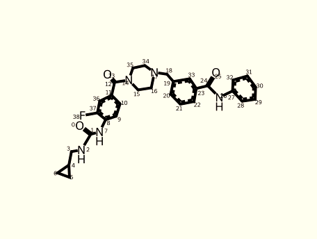 O=C(NCC1CC1)Nc1ccc(C(=O)N2CCN(Cc3cccc(C(=O)Nc4ccccc4)c3)CC2)cc1F